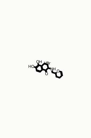 Br.O=C1c2ccc(O)c(O)c2CCC1NCC1CCC=CO1